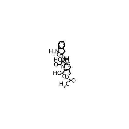 CC(=O)OCC1=C(C(=O)O)N2C(=O)[C@](O)(NC(=O)Cc3ccccc3N)[C@H]2SC1